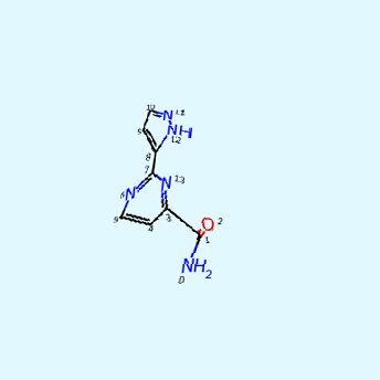 NC(=O)c1ccnc(-c2ccn[nH]2)n1